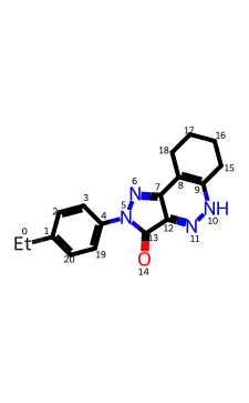 CCc1ccc(-n2nc3c4c([nH]nc-3c2=O)CCCC4)cc1